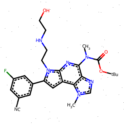 [C-]#[N+]c1cc(F)cc(-c2cc3c4c(ncn4C)c(N(C)C(=O)OC(C)(C)C)nc3n2CCNCCO)c1